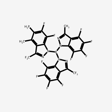 Cc1nn(B(n2nc(C(F)(F)F)c3c(C)c(P)c(F)c(F)c32)n2nc(C(F)(F)F)c3c(F)c(F)c(F)c(F)c32)c2c(F)c(F)c(F)c(F)c12